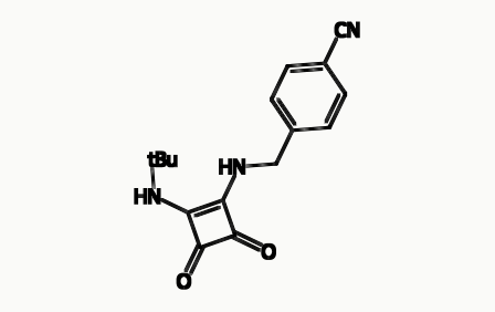 CC(C)(C)Nc1c(NCc2ccc(C#N)cc2)c(=O)c1=O